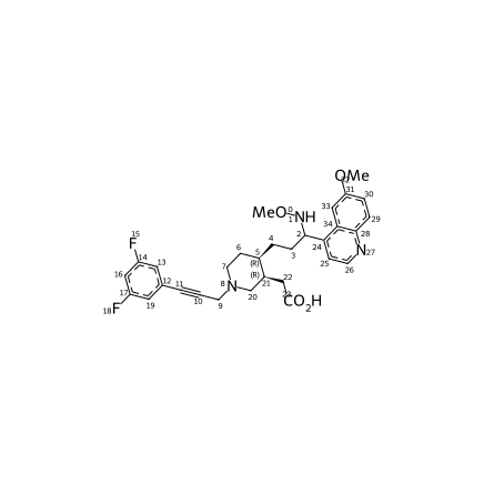 CONC(CC[C@@H]1CCN(CC#Cc2cc(F)cc(F)c2)C[C@@H]1CC(=O)O)c1ccnc2ccc(OC)cc12